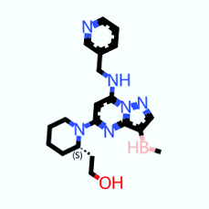 CBc1cnn2c(NCc3cccnc3)cc(N3CCCC[C@H]3CCO)nc12